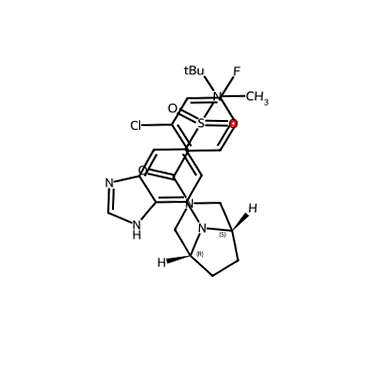 CN(C(C)(C)C)S(=O)(=O)c1cc(N2[C@@H]3CC[C@H]2CN(C(=O)c2ccc(F)cc2Cl)C3)c2[nH]cnc2c1